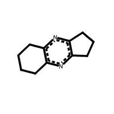 C1CCc2nc3c(nc2C1)CCC3